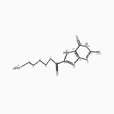 CCCCCCCCCCCCCCCC(=O)c1nc2nc(N)[nH]c(=S)c2[nH]1